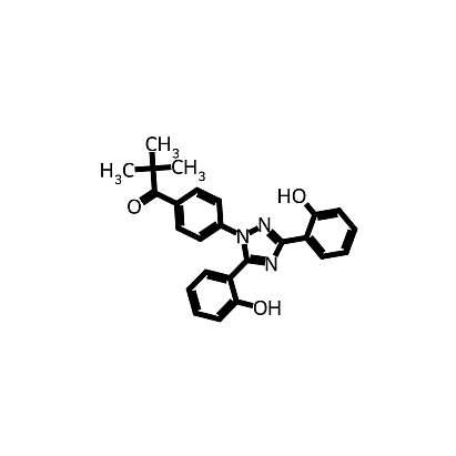 CC(C)(C)C(=O)c1ccc(-n2nc(-c3ccccc3O)nc2-c2ccccc2O)cc1